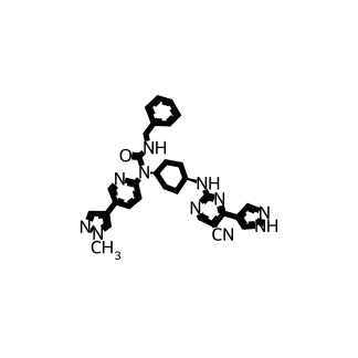 Cn1cc(-c2ccc(N(C(=O)NCc3ccccc3)[C@H]3CC[C@H](Nc4ncc(C#N)c(-c5cn[nH]c5)n4)CC3)nc2)cn1